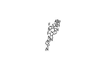 CN(C)C1CC2C1CCN2c1ncc2c3c(c(-c4ncc(F)c5sc(NC(=O)OC(C)(C)C)c(C#N)c45)c(F)c2n1)COC3